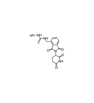 CCCNC(=S)NCc1cccc2c1C(=O)N(C1CCC(=O)NC1=O)C2=O